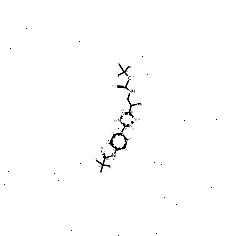 CC(CNC(=O)OC(C)(C)C)c1nnc(-c2ccc(NC(=O)C(C)(C)C)cc2)nn1